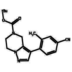 Cc1cc(C#N)ccc1-c1cnn2c1CN(C(=O)OC(C)(C)C)CC2